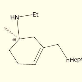 CCCCCCCCC1=CCC[C@@](C)(NCC)C1